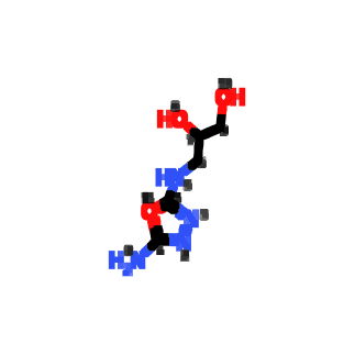 Nc1nnc(NCC(O)CO)o1